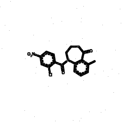 Cc1cccc2c1C(=O)CCCN2C(=O)c1ccc([N+](=O)[O-])cc1Cl